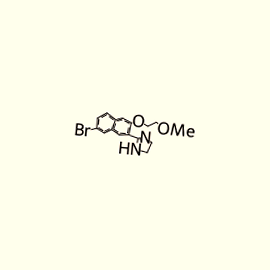 COCCOc1cc2ccc(Br)cc2cc1C1=NCCN1